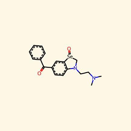 CN(C)CCN1C[Se](=O)c2cc(C(=O)c3ccccc3)ccc21